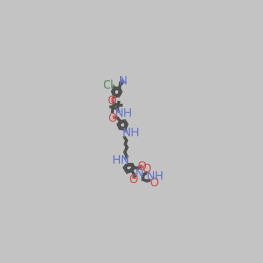 CC1(C)C(NC(=O)c2ccc(NCCCCCCNc3ccc4c(c3)C(=O)N(C3CCC(=O)NC3=O)C4=O)cc2)C(C)(C)C1Oc1ccc(C#N)c(Cl)c1